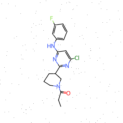 CCC(=O)N1CCCC(c2nc(Cl)cc(Nc3cccc(F)c3)n2)C1